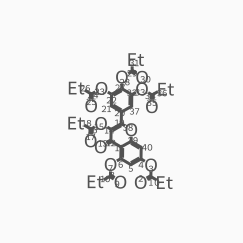 CCC(=O)Oc1cc(OC(=O)CC)c2c(=O)c(OC(=O)CC)c(-c3cc(OC(=O)CC)c(OC(=O)CC)c(OC(=O)CC)c3)oc2c1